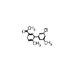 CC(=O)C1=CC(c2cc(C)cc(Cl)c2)C(C)=CC1